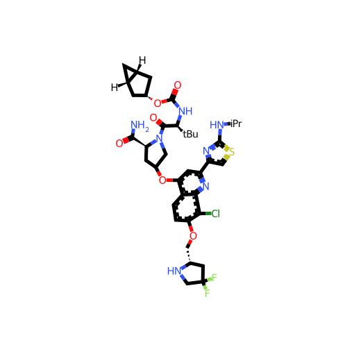 CC(C)Nc1nc(-c2cc(OC3C[C@@H](C(N)=O)N(C(=O)[C@@H](NC(=O)O[C@@H]4C[C@@H]5C[C@@H]5C4)C(C)(C)C)C3)c3ccc(OC[C@@H]4CC(F)(F)CN4)c(Cl)c3n2)cs1